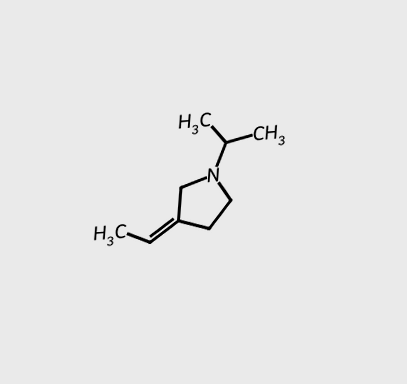 C/C=C1/CCN(C(C)C)C1